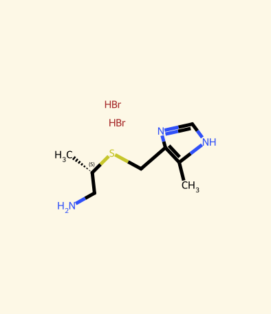 Br.Br.Cc1[nH]cnc1CS[C@@H](C)CN